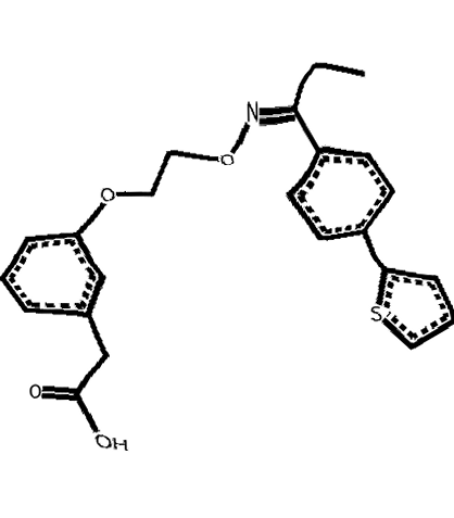 CCC(=NOCCOc1cccc(CC(=O)O)c1)c1ccc(-c2cccs2)cc1